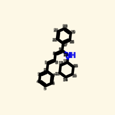 C(=Cc1ccccc1)C=C(NC1CCCCC1)c1ccccc1